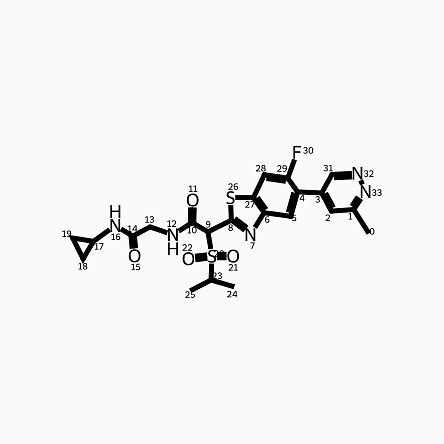 Cc1cc(-c2cc3nc(C(C(=O)NCC(=O)NC4CC4)S(=O)(=O)C(C)C)sc3cc2F)cnn1